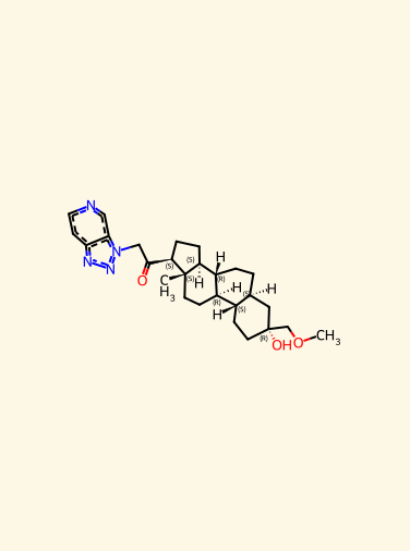 COC[C@@]1(O)CC[C@H]2[C@@H](CC[C@@H]3[C@@H]2CC[C@]2(C)[C@@H](C(=O)Cn4nnc5ccncc54)CC[C@@H]32)C1